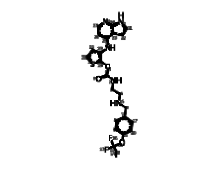 O=C(NCCNCc1ccc(OC(F)(F)F)cc1)Oc1sccc1Nc1ccnc2[nH]ccc12